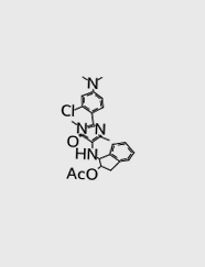 CC(=O)OC1Cc2ccccc2C1Nc1c(C)nc(-c2ccc(N(C)C)cc2Cl)n(C)c1=O